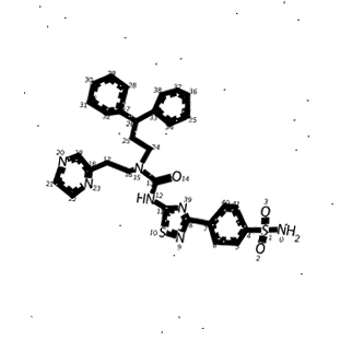 NS(=O)(=O)c1ccc(-c2nsc(NC(=O)N(CCc3cnccn3)CCC(c3ccccc3)c3ccccc3)n2)cc1